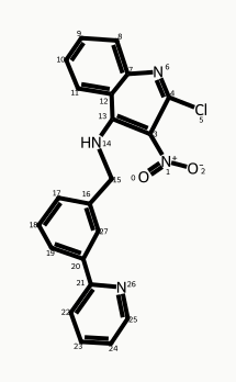 O=[N+]([O-])c1c(Cl)nc2ccccc2c1NCc1cccc(-c2ccccn2)c1